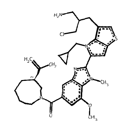 C=C(C)[C@@H]1CCCCN(C(=O)c2cc(OC)c3c(c2)nc(-c2cc4scc(CC(CN)CCl)c4n2CC2CC2)n3C)C1